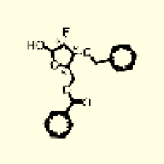 O=C(OC[C@H]1OC(O)[C@H](F)[C@@H]1OCc1ccccc1)c1ccccc1